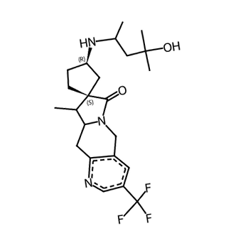 CC(CC(C)(C)O)N[C@@H]1CC[C@@]2(C1)C(=O)N1Cc3cc(C(F)(F)F)cnc3CC1C2C